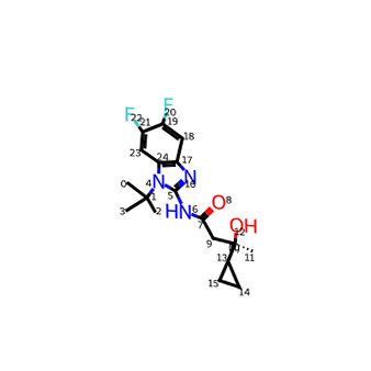 CC(C)(C)n1c(NC(=O)C[C@@](C)(O)C2CC2)nc2cc(F)c(F)cc21